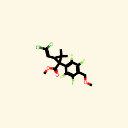 COCc1c(F)c(F)c(C2(C(=O)OC)C(C=C(Cl)Cl)C2(C)C)c(F)c1F